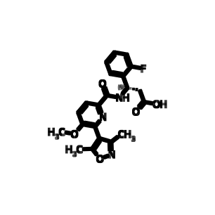 COc1ccc(C(=O)N[C@@H](CC(=O)O)c2ccccc2F)nc1-c1c(C)noc1C